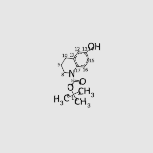 CC(C)(C)OC(=O)N1CCCc2cc(O)ccc21